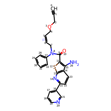 C#CCOC/C=C\CN(C(=O)c1sc2nc(-c3cccnc3)ccc2c1N)c1ccccc1